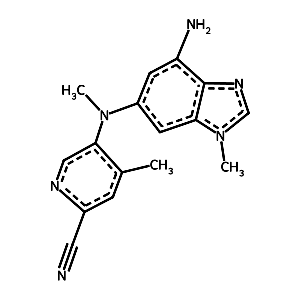 Cc1cc(C#N)ncc1N(C)c1cc(N)c2ncn(C)c2c1